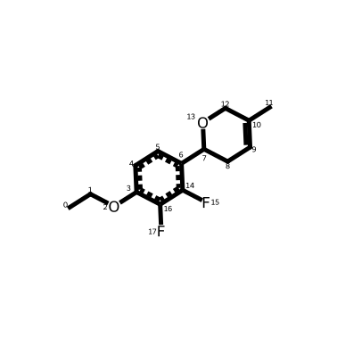 CCOc1ccc(C2CC=C(C)CO2)c(F)c1F